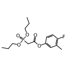 CCCOP(=O)(CC(=O)Oc1ccc(F)c(C)c1)OCCC